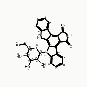 O=C1NC(=O)c2c1c1c3ccccc3[nH]c1c1c2c2ccccc2n1[C@@H]1O[C@H](CO)[C@@H](O)[C@H](O)[C@H]1O